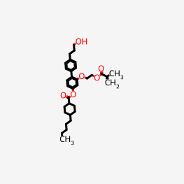 C=C(C)C(=O)OCCOc1cc(OC(=O)C2CCC(CCCCC)CC2)ccc1-c1ccc(CCCO)cc1